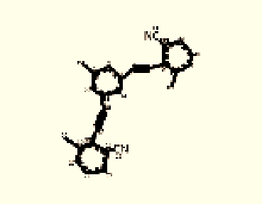 Cc1cc(C#Cc2c(C)cccc2C#N)cc(C#Cc2c(C)cccc2C#N)c1